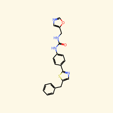 O=C(NCc1cnco1)Nc1ccc(-c2ncc(Cc3ccccc3)s2)cc1